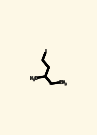 C[CH]C(C)CCI